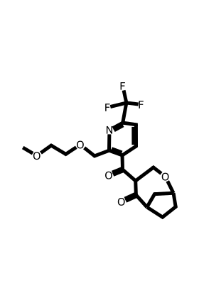 COCCOCc1nc(C(F)(F)F)ccc1C(=O)C1COC2CCC(C2)C1=O